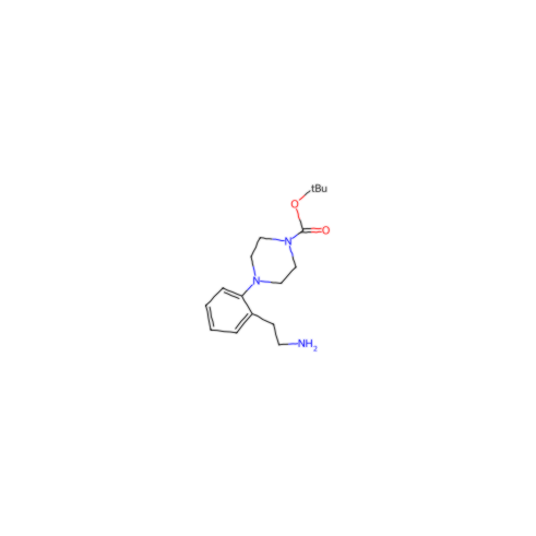 CC(C)(C)OC(=O)N1CCN(c2ccccc2CCN)CC1